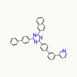 c1ccc(-c2ccc(-c3nc(-c4ccc(-c5cccc(-c6cccnc6)c5)cc4)nc(-c4ccc5ccccc5c4)n3)cc2)cc1